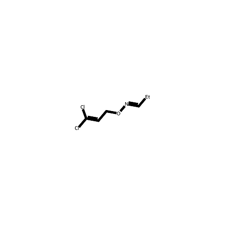 CC/C=N/OCC=C(Cl)Cl